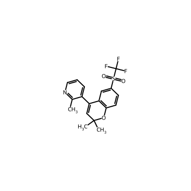 Cc1ncccc1C1=CC(C)(C)Oc2ccc(S(=O)(=O)C(F)(F)F)cc21